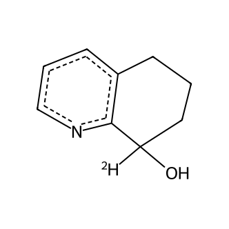 [2H]C1(O)CCCc2cccnc21